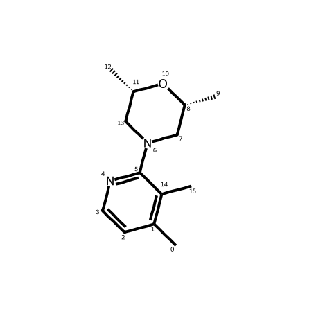 Cc1ccnc(N2C[C@@H](C)O[C@@H](C)C2)c1C